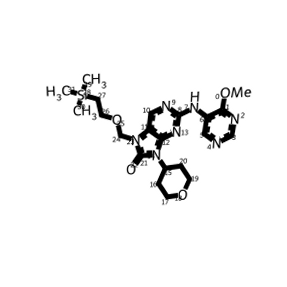 COc1ncncc1Nc1ncc2c(n1)n(C1CCOCC1)c(=O)n2COCC[Si](C)(C)C